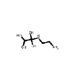 NCCNC(O)(O)C(O)O